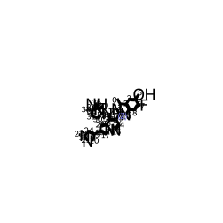 CCc1cc(O)c(F)cc1/N=C(\N)c1cnn2cc(-c3cnn(C)c3)cc2c1N[C@@H]1CC[C@](C)(N)C1(C)C